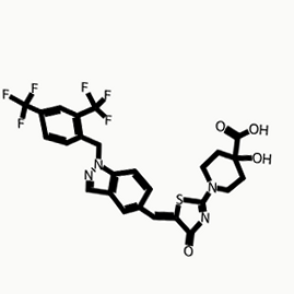 O=C1N=C(N2CCC(O)(C(=O)O)CC2)S/C1=C\c1ccc2c(cnn2Cc2ccc(C(F)(F)F)cc2C(F)(F)F)c1